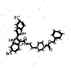 CCc1c#cc2[nH]c(-c3[nH]c4cc(Br)ccc4c3C(=O)NCCN3CCN(C(=O)OCc4ccccc4)CC3)cc2c1